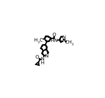 Cc1ccc(C(=O)Nc2cnn(C)c2)cc1-c1ccc2cc(NC(=O)C3CC3)ncc2c1